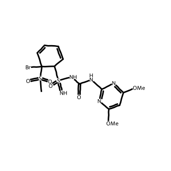 COc1cc(OC)nc(NC(=O)NS(=N)(=O)C2C=CC=CC2(Br)S(C)(=O)=O)n1